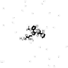 COC(=O)[C@@H](N)CCn1cc(NC(=O)/C(C=N)=C2\N=CC=CN2)c(-c2cc(Cl)ccc2OC(F)F)n1